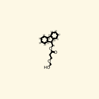 O=C(CCOCO)OCC1c2ccccc2-c2ccccc21